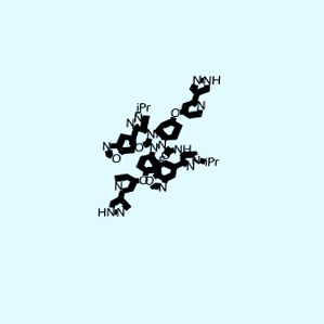 CC(C)n1cc(NC(=O)N(c2ccc(Oc3ccnc(-c4cn[nH]c4)c3)cc2)N(C(=O)Nc2cn(C(C)C)nc2-c2ccc3ocnc3c2)c2ccc(Oc3ccnc(-c4cn[nH]c4)c3)cc2F)c(-c2ccc3ocnc3c2)n1